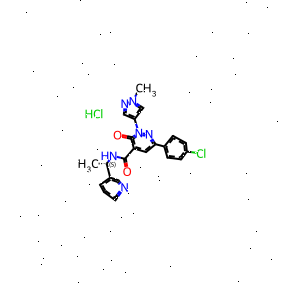 C[C@H](NC(=O)c1cc(-c2ccc(Cl)cc2)nn(-c2cnn(C)c2)c1=O)c1cccnc1.Cl